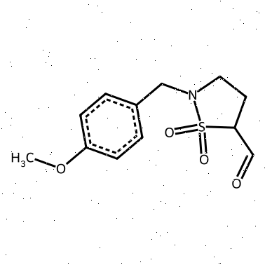 COc1ccc(CN2CCC(C=O)S2(=O)=O)cc1